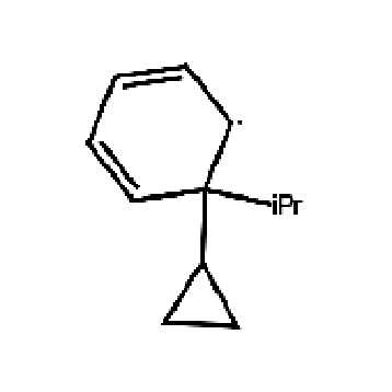 CC(C)C1(C2CC2)[CH]C=CC=C1